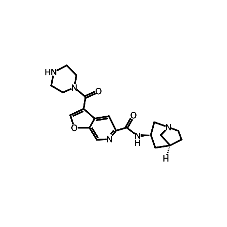 O=C(N[C@@H]1C[C@@H]2CCN(C2)C1)c1cc2c(C(=O)N3CCNCC3)coc2cn1